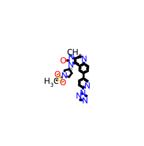 Cn1c(=O)n([C@H]2CCN(S(C)(=O)=O)C2)c2c3cc(-c4ccc(-n5cncn5)nc4)ccc3ncc21